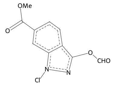 COC(=O)c1ccc2c(OC=O)nn(Cl)c2c1